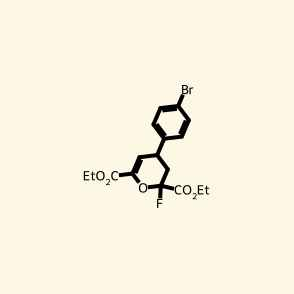 CCOC(=O)C1=CC(c2ccc(Br)cc2)CC(F)(C(=O)OCC)O1